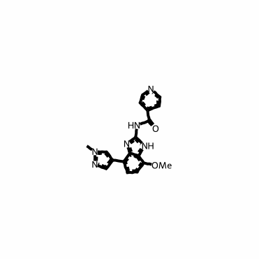 COc1ccc(-c2cnn(C)c2)c2nc(NC(=O)c3ccncc3)[nH]c12